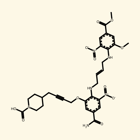 COC(=O)c1cc(OC)c(NC/C=C/CNc2c(OCC#CCC3CCN(C(=O)O)CC3)cc(C(N)=O)cc2[N+](=O)[O-])c([N+](=O)[O-])c1